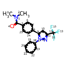 CN(C)C(=O)c1ccc(-c2cc(C(F)(F)F)nn2-c2ccccc2)cc1